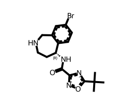 CC(C)(C)c1nc(C(=O)N[C@@H]2CCNCc3cc(Br)ccc32)no1